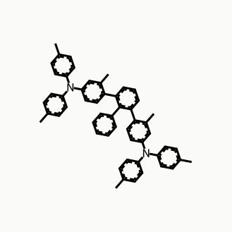 Cc1ccc(N(c2ccc(C)cc2)c2ccc(-c3cccc(-c4ccc(N(c5ccc(C)cc5)c5ccc(C)cc5)cc4C)c3-c3ccccc3)c(C)c2)cc1